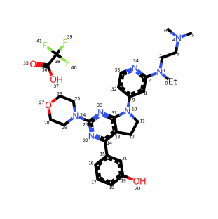 CCN(CCN(C)C)c1cc(N2CCc3c(-c4cccc(O)c4)nc(N4CCOCC4)nc32)ccn1.O=C(O)C(F)(F)F